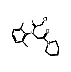 Cc1cccc(C)c1N(CC(=O)N1CCCCC1)C(=O)CCl